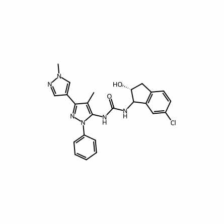 Cc1c(-c2cnn(C)c2)nn(-c2ccccc2)c1NC(=O)NC1c2cc(Cl)ccc2C[C@H]1O